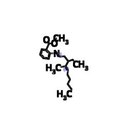 CCCCC/C=C(\C)C(CC)C/C=N/c1ccccc1C(=O)OC